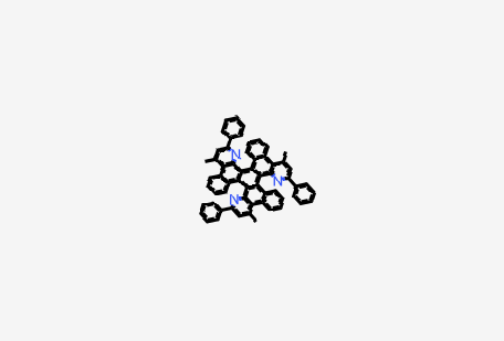 Cc1cc(-c2ccccc2)nc2c1c1ccccc1c1c2c2c3ccccc3c3c(C)cc(-c4ccccc4)nc3c2c2c3ccccc3c3c(C)cc(-c4ccccc4)nc3c12